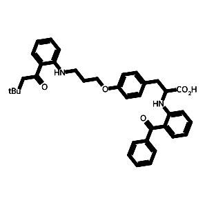 CC(C)(C)CC(=O)c1ccccc1NCCCOc1ccc(CC(Nc2ccccc2C(=O)c2ccccc2)C(=O)O)cc1